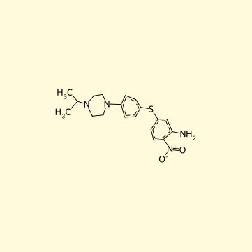 CC(C)N1CCN(c2ccc(Sc3ccc([N+](=O)[O-])c(N)c3)cc2)CC1